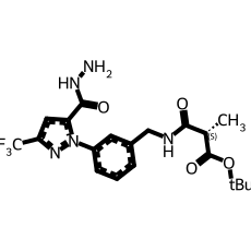 C[C@@H](C(=O)NCc1cccc(-n2nc(C(F)(F)F)cc2C(=O)NN)c1)C(=O)OC(C)(C)C